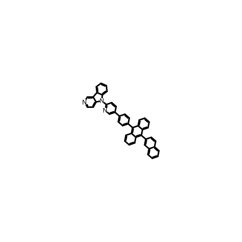 c1ccc2cc(-c3c4ccccc4c(-c4ccc(-c5ccc(-n6c7ccccc7c7cnccc76)nc5)cc4)c4ccccc34)ccc2c1